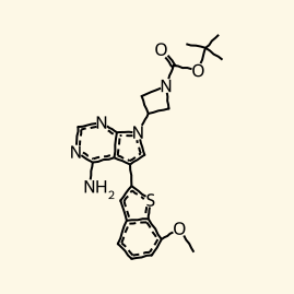 COc1cccc2cc(-c3cn(C4CN(C(=O)OC(C)(C)C)C4)c4ncnc(N)c34)sc12